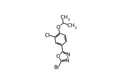 CC(C)Oc1ccc(-c2nnc(Br)o2)cc1Cl